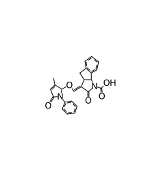 CC1=CC(=O)N(c2ccccc2)C1O/C=C1/C(=O)N(C(=O)O)C2c3ccccc3CC12